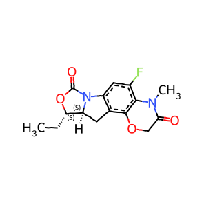 CC[C@@H]1OC(=O)N2c3cc(F)c4c(c3C[C@@H]12)OCC(=O)N4C